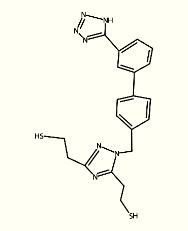 SCCc1nc(CCS)n(Cc2ccc(-c3cccc(-c4nnn[nH]4)c3)cc2)n1